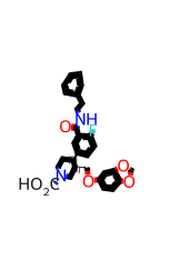 O=C(NCCc1ccccc1)c1cc([C@@H]2CCN(C(=O)O)C[C@H]2COc2ccc3c(c2)OCO3)ccc1F